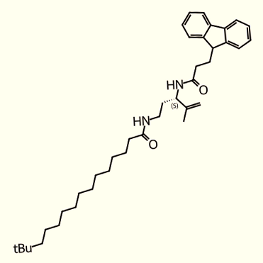 C=C(C)[C@H](CCNC(=O)CCCCCCCCCCCCC(C)(C)C)NC(=O)CCC1c2ccccc2-c2ccccc21